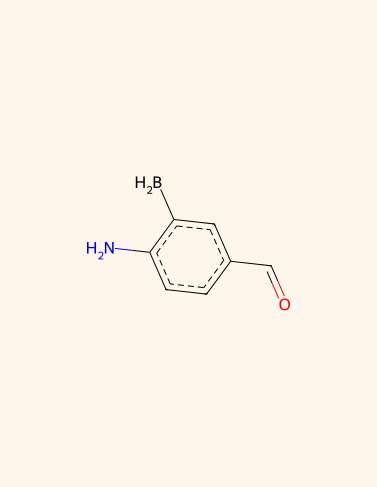 Bc1cc(C=O)ccc1N